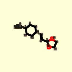 CCCC[C@H]1CC[C@H](C=CC2OCCO2)CC1